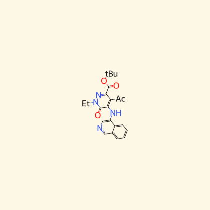 CCn1nc(C(=O)OC(C)(C)C)c(C(C)=O)c(Nc2cncc3ccccc23)c1=O